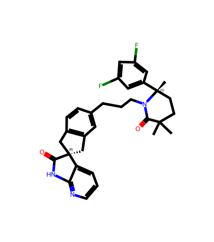 CC1(C)CC[C@@](C)(c2cc(F)cc(F)c2)N(CCCc2ccc3c(c2)C[C@@]2(C3)C(=O)Nc3ncccc32)C1=O